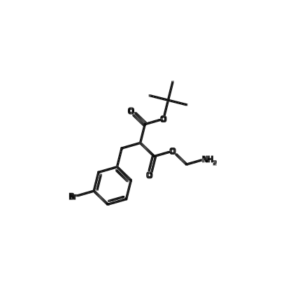 CC(C)(C)OC(=O)C(Cc1cccc(Br)c1)C(=O)OCN